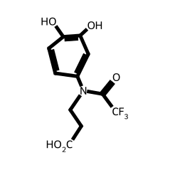 O=C(O)CCN(C(=O)C(F)(F)F)c1ccc(O)c(O)c1